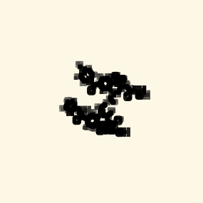 CCN1CC(CC(=O)NO)S(=O)(=O)c2ccc(C(=O)N3CCN(C)CC3)cc21.CCN1c2cc(C(=O)Nc3nccs3)ccc2S(=O)(=O)C(C(=O)NO)C1C